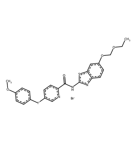 CCOCOc1ccc2nc(NC(=O)c3ccc([I+]c4ccc(OC)cc4)cn3)sc2c1.[Br-]